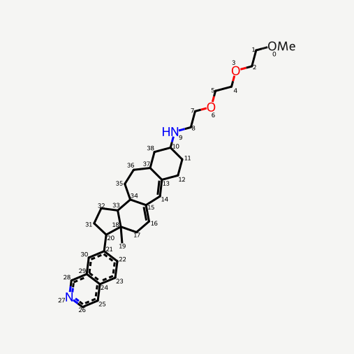 COCCOCCOCCNC1CCC2=CC3=CCC4(C)C(c5ccc6ccncc6c5)CCC4C3CCC2C1